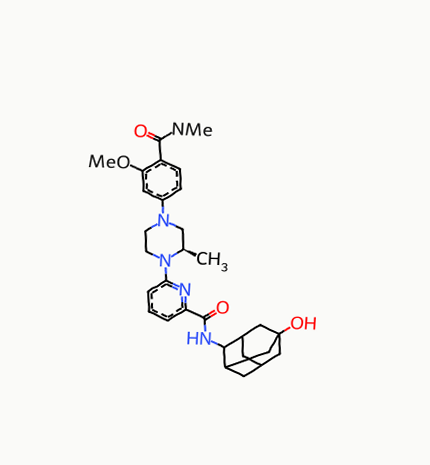 CNC(=O)c1ccc(N2CCN(c3cccc(C(=O)NC4C5CC6CC4CC(O)(C6)C5)n3)[C@H](C)C2)cc1OC